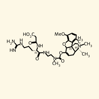 COc1ccc(C)c2c1OC1C(OC(=O)N(C)CCNC(=O)[C@H](CCCNC(=N)N)NC(=O)CC(=O)O)=CCC3[C@@H](C)N(C)CC[C@]213